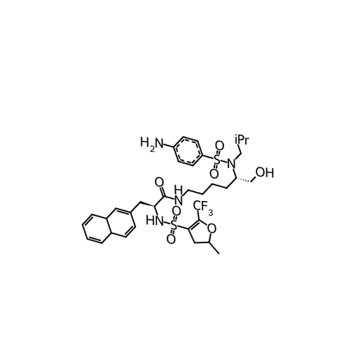 CC(C)CN([C@H](CO)CCCCNC(=O)[C@H](CC1=CC2C=CC=CC2C=C1)NS(=O)(=O)C1=C(C(F)(F)F)OC(C)C1)S(=O)(=O)c1ccc(N)cc1